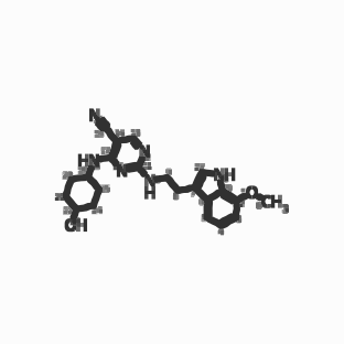 COc1cccc2c(CCNc3ncc(C#N)c(NC4CCC(O)CC4)n3)c[nH]c12